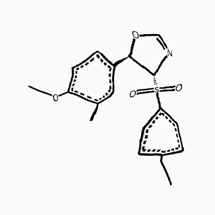 COc1ccc([C@H]2OC=N[C@@H]2S(=O)(=O)c2ccc(C)cc2)cc1C